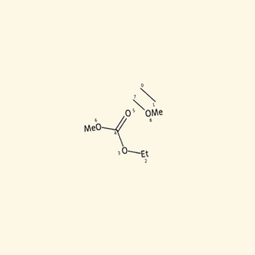 CC.CCOC(=O)OC.COC